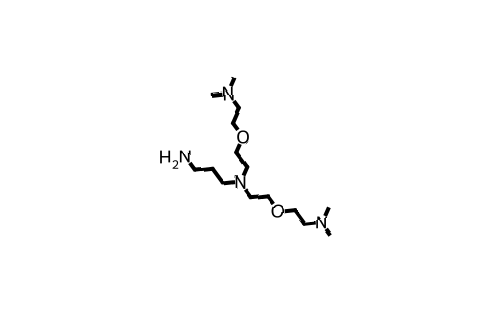 CN(C)CCOCCN(CCCN)CCOCCN(C)C